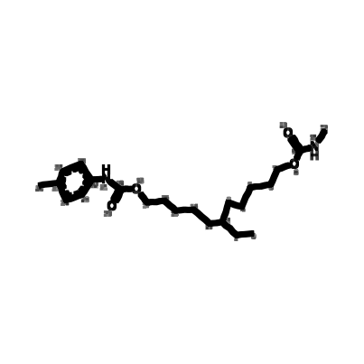 CCC(CCCCCOC(=O)NC)CCCCCOC(=O)Nc1ccc(C)cc1